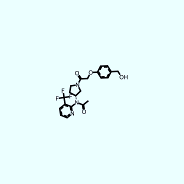 CC(=O)N(c1ncccc1C(F)(F)F)[C@@H]1CCN(C(=O)COc2ccc(CO)cc2)C1